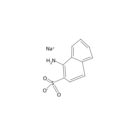 Nc1c(S(=O)(=O)[O-])ccc2ccccc12.[Na+]